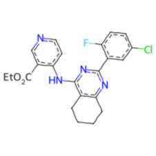 CCOC(=O)c1cnccc1Nc1nc(-c2cc(Cl)ccc2F)nc2c1CCCC2